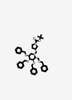 CC(C)(C)OC(=O)N1CC[C@H](CN2C[C@H](OCc3ccccc3)[C@@H](OCc3ccccc3)[C@H](OCc3ccccc3)[C@@H]2COCc2ccccc2)C1